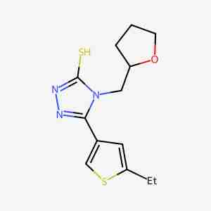 CCc1cc(-c2nnc(S)n2CC2CCCO2)cs1